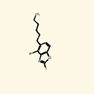 CCCCCCc1ccc2oc(I)nc2c1Br